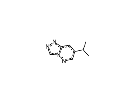 CC(C)c1cnn2cnnc2c1